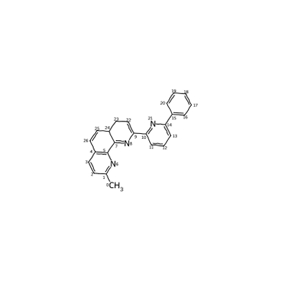 Cc1ccc2c(n1)C1=NC(c3cccc(-c4ccccc4)n3)=CCC1C=C2